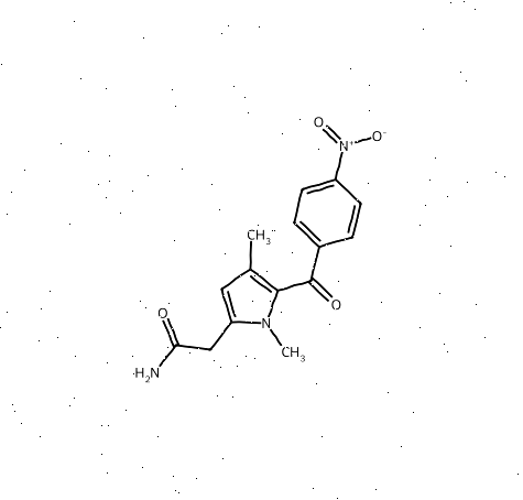 Cc1cc(CC(N)=O)n(C)c1C(=O)c1ccc([N+](=O)[O-])cc1